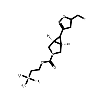 C[Si](C)(C)CCOC(=O)N1C[C@@H]2C(C3=NOC(CCl)C3)[C@@H]2C1